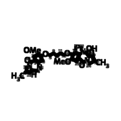 COc1cc2c(cc1OCCCCCOc1cc3c(cc1OC)C(=O)N1CC(C)=C[C@H]1C(O)N3C(C)C)N=C[C@@H]1C=C(C)CN1C2=O